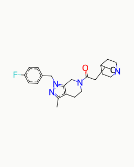 Cc1nn(Cc2ccc(F)cc2)c2c1CCN(C(=O)CC1CN3CCC1CC3)C2